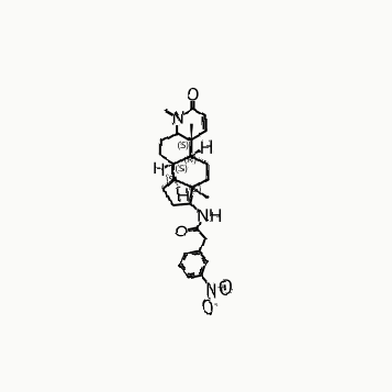 CN1C(=O)C=C[C@@]2(C)C1CC[C@@H]1[C@H]2CC[C@]2(C)C(NC(=O)Cc3cccc([N+](=O)[O-])c3)CC[C@@H]12